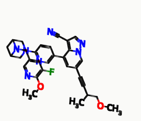 COCC(C)C#Cc1cc(-c2ccc(N3CC4CC(C3)N4Cc3cnc(OC)c(F)c3)nc2)c2c(C#N)cnn2c1